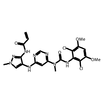 C=CC(=O)Nc1nn(C)cc1Nc1cc(N(C)C(=O)Nc2c(Cl)c(OC)cc(OC)c2Cl)ncn1